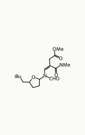 CCC(C)CC1CCC(N(C=O)/C=C(/CC(=O)OC)C(=O)NC)O1